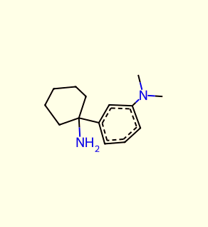 CN(C)c1cccc(C2(N)CCCCC2)c1